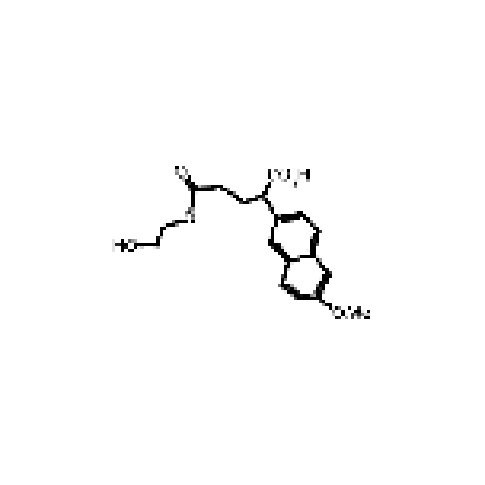 COc1ccc2cc(C(CCC(=O)OCCO)C(=O)O)ccc2c1